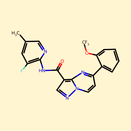 Cc1cnc(NC(=O)c2cnn3ccc(-c4ccccc4OC(F)(F)F)nc23)c(F)c1